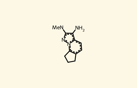 CNc1nn2c3c(ccc2c1N)CCC3